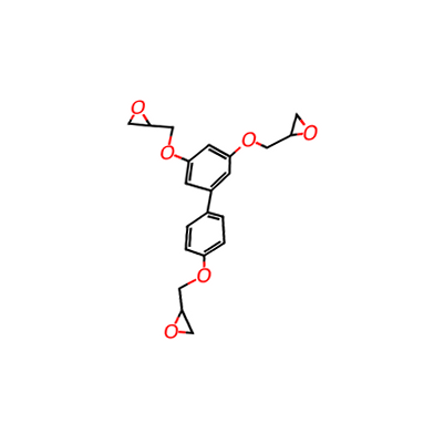 c1cc(-c2cc(OCC3CO3)cc(OCC3CO3)c2)ccc1OCC1CO1